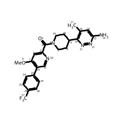 COc1cc(C(=O)N2CCC(c3nnc(N)cc3C)CC2)ncc1-c1ccc(C(F)(F)F)cc1